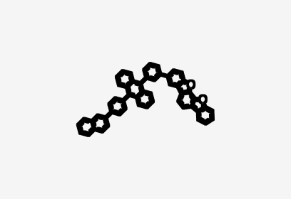 c1cc(-c2ccc3oc4c(ccc5c6ccccc6oc54)c3c2)cc(-c2c3ccccc3c(-c3ccc(-c4ccc5ccccc5c4)cc3)c3ccccc23)c1